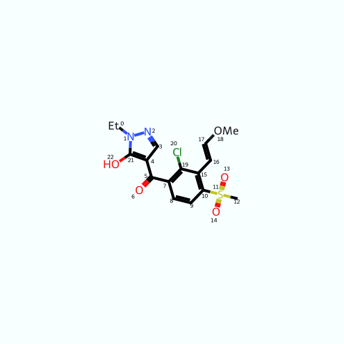 CCn1ncc(C(=O)c2ccc(S(C)(=O)=O)c(C=COC)c2Cl)c1O